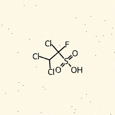 O=S(=O)(O)C(F)(Cl)C(Cl)Cl